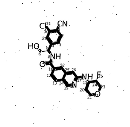 N#Cc1ccc([C@@H](CO)NC(=O)c2ccc3cnc(N[C@H]4CCOC[C@H]4F)cc3c2)cc1Cl